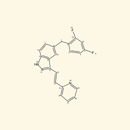 Fc1ccc(Cc2ccc3[nH]nc(/C=C/c4ccccn4)c3c2)c(F)c1